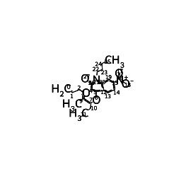 C=CCOc1c(OC(=CC)CC)c2ccc([N+](=O)[O-])cc2n(CCCC)c1=O